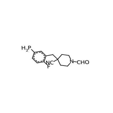 N#CC1(Cc2cc(P)ccc2F)CCN(C=O)CC1